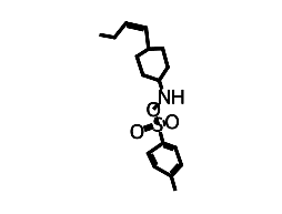 CC/C=C\C1CCC(NOS(=O)(=O)c2ccc(C)cc2)CC1